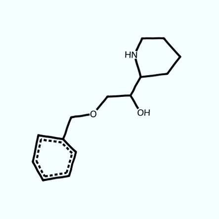 OC(COCc1ccccc1)C1CCCCN1